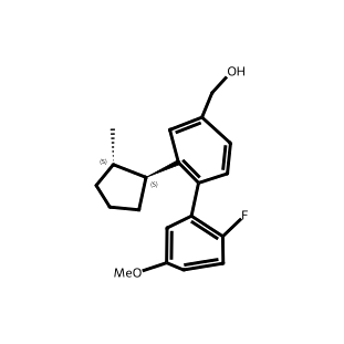 COc1ccc(F)c(-c2ccc(CO)cc2[C@H]2CCC[C@@H]2C)c1